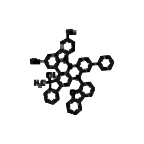 CC(C)(C)c1ccc2c(c1)c1cc(C(C)(C)C)cc3c1n2B1c2ccc(-c4ccccc4)cc2N(c2cccc4c2oc2ccccc24)c2cc4c(c-3c21)C(C)(C)c1ccccc1-4